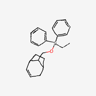 CC[Si](OCC1C2C=CCC1CC2)(c1ccccc1)c1ccccc1